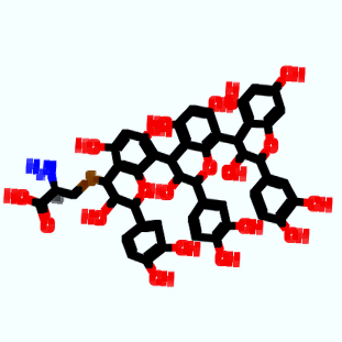 N[C@@H](CSC1c2c(O)cc(O)c(C3c4c(O)cc(O)c(C5c6c(O)cc(O)cc6OC(c6ccc(O)c(O)c6)C5O)c4OC(c4ccc(O)c(O)c4)C3O)c2OC(c2ccc(O)c(O)c2)C1O)C(=O)O